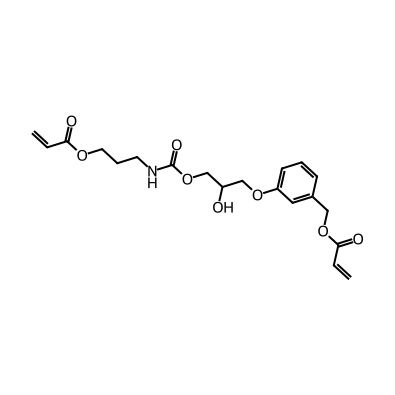 C=CC(=O)OCCCNC(=O)OCC(O)COc1cccc(COC(=O)C=C)c1